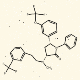 CN(CCc1cccc(C(F)(F)F)n1)[C@@H]1C[C@H](c2cccc(OC(F)(F)F)c2)N(c2ccccc2)C1=O